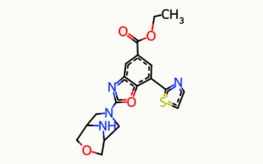 CCOC(=O)c1cc(-c2nccs2)c2oc(N3CC4COCC(C3)N4)nc2c1